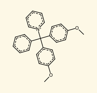 COc1ccc(C(c2ccccc2)(c2ccc(OC)cc2)[n+]2ccccc2)cc1